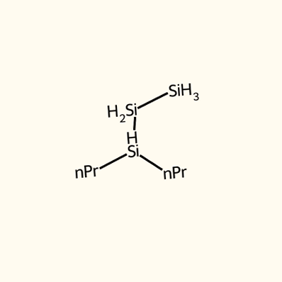 CCC[SiH](CCC)[SiH2][SiH3]